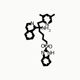 Cc1cnc(CC(N)(CCCCS(=O)(=O)c2nc3ccccc3[nH]2)c2nccc3ccccc23)c(C)c1